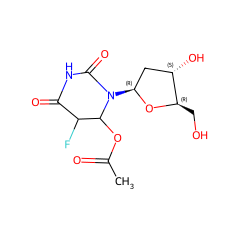 CC(=O)OC1C(F)C(=O)NC(=O)N1[C@H]1C[C@H](O)[C@@H](CO)O1